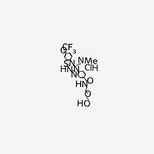 CNCCn1c(Nc2nc3ccc(OC(F)(F)F)cc3s2)nc2cc(C(=O)NCCOCCO)ccc21.Cl